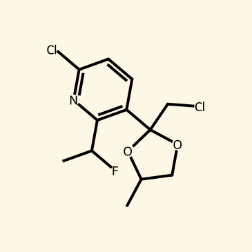 CC1COC(CCl)(c2ccc(Cl)nc2C(C)F)O1